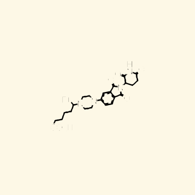 CCC(CCCCC(=O)O)N1CCN(c2ccc3c(c2)C(=O)N(C2CCC(=O)NC2=O)C3=O)CC1